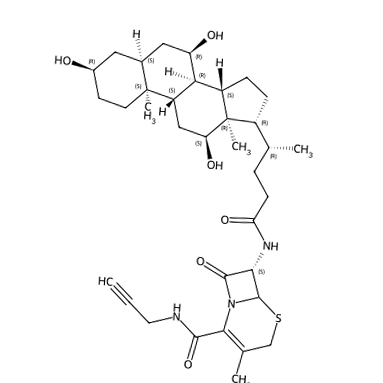 C#CCNC(=O)C1=C(C)CSC2[C@@H](NC(=O)CC[C@@H](C)[C@H]3CC[C@H]4[C@@H]5[C@H](O)C[C@@H]6C[C@H](O)CC[C@]6(C)[C@H]5C[C@H](O)[C@]34C)C(=O)N12